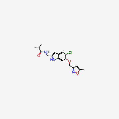 Cc1cc(COc2cc3[nH]c(CNC(=O)C(C)C)cc3cc2Cl)no1